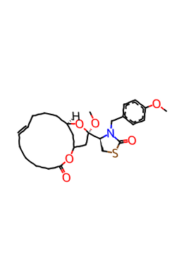 COc1ccc(CN2C(=O)SC[C@H]2[C@@]2(OC)CC3C[C@@H](CCC/C=C/CCCCC(=O)O3)O2)cc1